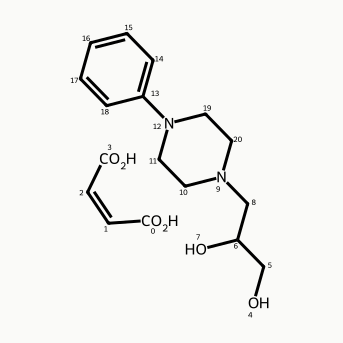 O=C(O)/C=C\C(=O)O.OCC(O)CN1CCN(c2ccccc2)CC1